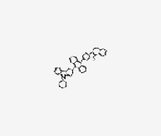 c1ccc(-n2c3ccccc3c3cc(-c4c5ccccc5c(-c5ccc6c(c5)sc5c7ccccc7ccc65)c5ccccc45)ccc32)cc1